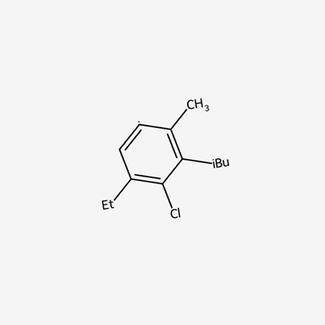 CCc1c[c]c(C)c(C(C)CC)c1Cl